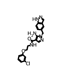 Nc1c(C(=O)NCCOc2cccc(Cl)c2)cnn1Cc1ccc2[nH]ncc2c1